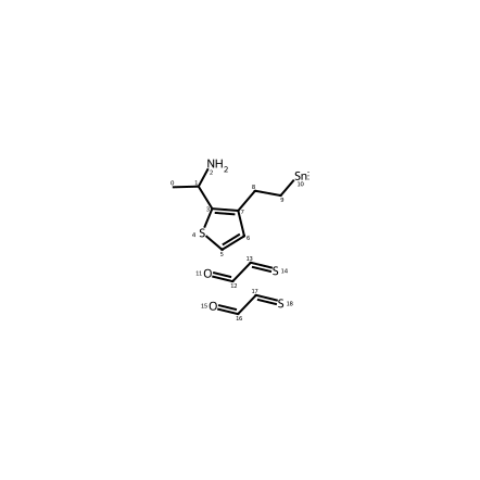 CC(N)c1sccc1C[CH2][Sn].O=CC=S.O=CC=S